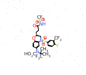 CC(C)(N(C(=O)O)c1ccc2c(c1)N(S(=O)(=O)c1ccc(F)c(C(F)(F)F)c1)C[C@H](CCC(=O)NS(=O)(=O)C(F)(F)F)O2)C(F)(F)F